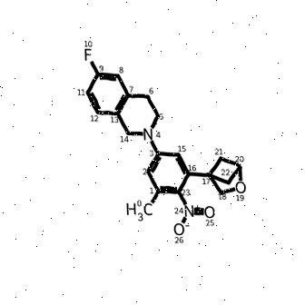 Cc1cc(N2CCc3cc(F)ccc3C2)cc(C23COC(C2)C3)c1[N+](=O)[O-]